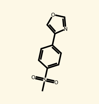 CS(=O)(=O)c1ccc(-c2cocn2)cc1